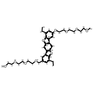 CCc1cc(COCCOCCOCCO)cc2c1oc1cc3c(cc12)oc1c(CC)cc(OCCOCCOCCOC)cc13